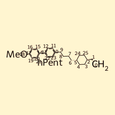 C=C[C@H]1CC[C@H](CCCCc2ccc(-c3ccc(OC)cc3CCCCC)cc2)CC1